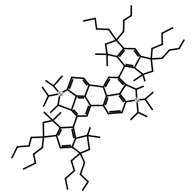 CCCCC1(CCCC)CC(C)(C)c2c1cc1c(c2-c2cc3c4ccc5c6c(c(-c7c8c(cc9c7C(C)(C)CC9(CCCC)CCCC)C(CCCC)(CCCC)CC8(C)C)cc(c7ccc8c(c2C(C)[Si]8(C(C)C)C(C)C)c73)c64)C(C)[Si]5(C(C)C)C(C)C)C(C)(C)CC1(CCCC)CCCC